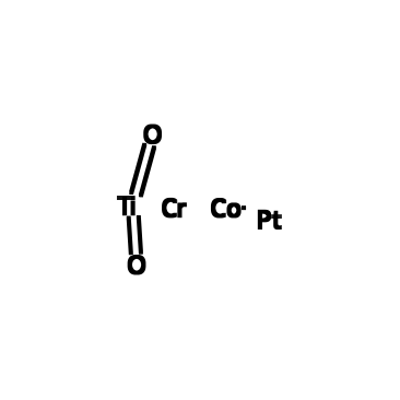 [Co].[Cr].[O]=[Ti]=[O].[Pt]